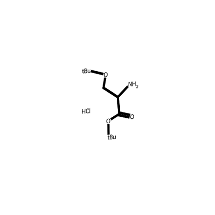 CC(C)(C)OCC(N)C(=O)OC(C)(C)C.Cl